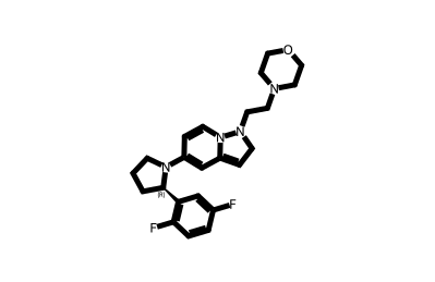 Fc1ccc(F)c([C@H]2CCCN2C2=CC3=CCN(CCN4CCOCC4)N3C=C2)c1